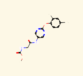 CC(C)(C)OC(=O)NCC(=O)Nc1cnc(Oc2ccc(C#N)cc2C(C)(C)C)nc1